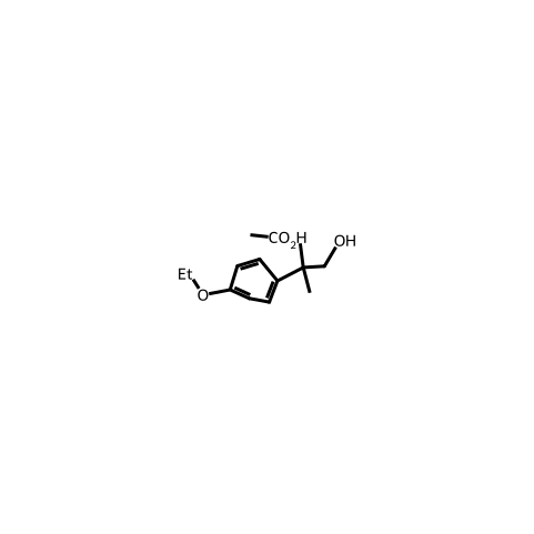 CC(=O)O.CCOc1ccc(C(C)(C)CO)cc1